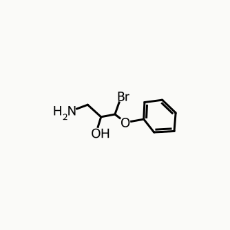 NCC(O)C(Br)Oc1ccccc1